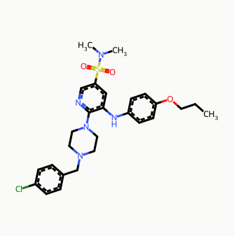 CCCOc1ccc(Nc2cc(S(=O)(=O)N(C)C)cnc2N2CCN(Cc3ccc(Cl)cc3)CC2)cc1